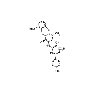 Cc1ccc([C@H](CC(=O)O)NC(=O)Nc2c(O)c(C)cn(Cc3c(Cl)cccc3OCC(C)C)c2=O)cc1